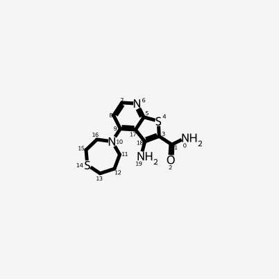 NC(=O)c1sc2nccc(N3CCCSCC3)c2c1N